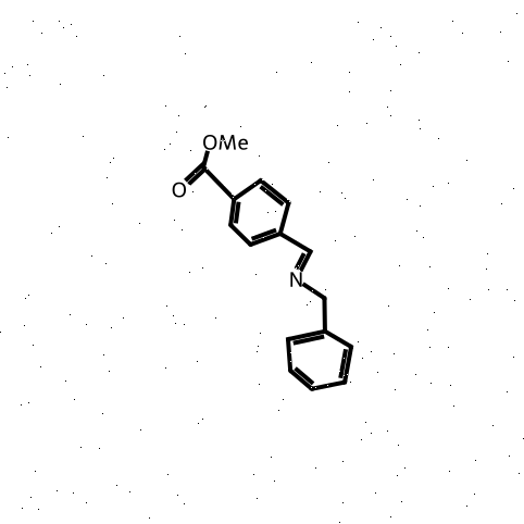 COC(=O)c1ccc(C=NCc2ccccc2)cc1